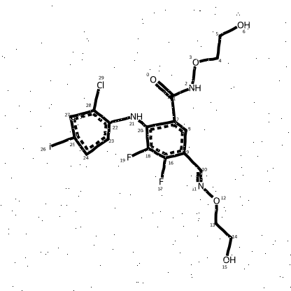 O=C(NOCCO)c1cc(C=NOCCO)c(F)c(F)c1Nc1ccc(I)cc1Cl